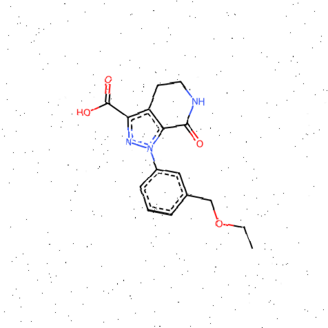 CCOCc1cccc(-n2nc(C(=O)O)c3c2C(=O)NCC3)c1